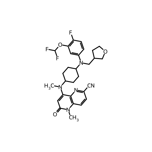 CN(c1cc(=O)n(C)c2ccc(C#N)nc12)C1CCC(N(CC2CCOC2)c2ccc(F)c(OC(F)F)c2)CC1